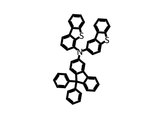 c1ccc(C2(c3ccccc3)c3ccccc3-c3cc(N(c4ccc5sc6ccccc6c5c4)c4cccc5c4sc4ccccc45)ccc32)cc1